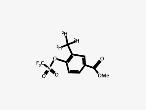 [2H]C([2H])([2H])c1cc(C(=O)OC)ccc1OS(=O)(=O)C(F)(F)F